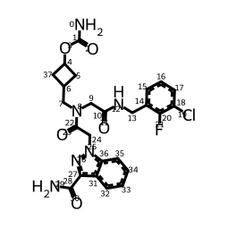 NC(=O)OC1CC(CN(CC(=O)NCc2cccc(Cl)c2F)C(=O)Cn2nc(C(N)=O)c3ccccc32)C1